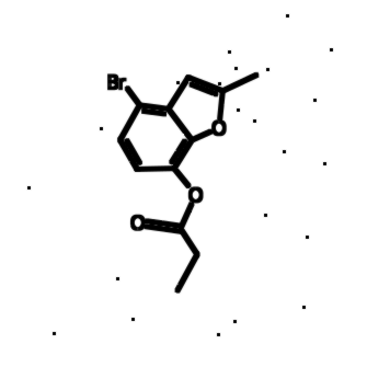 CCC(=O)Oc1ccc(Br)c2cc(C)oc12